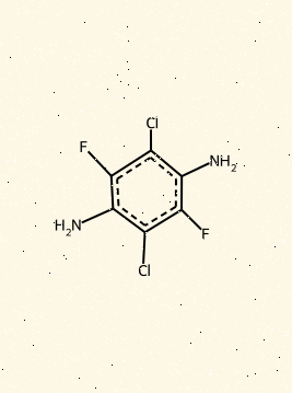 Nc1c(F)c(Cl)c(N)c(F)c1Cl